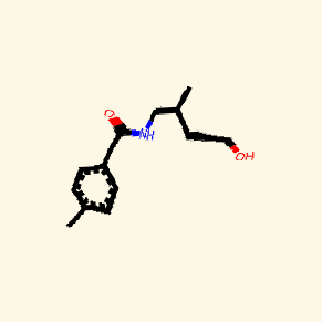 Cc1ccc(C(=O)NCC(C)CCO)cc1